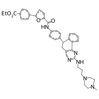 CCOC(=O)c1ccc(-c2ccc(C(=O)Nc3ccc(C4Cc5cnc(NCCCN6CCN(C)CC6)nc5-c5ccccc54)cc3)o2)cc1